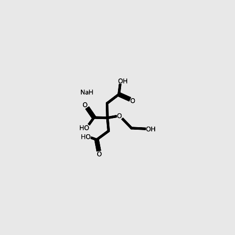 O=C(O)CC(CC(=O)O)(OCO)C(=O)O.[NaH]